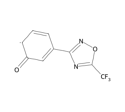 O=C1[CH]C=CC(c2noc(C(F)(F)F)n2)=C1